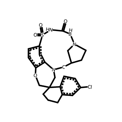 O=C1BN2CCC(C2)CN2CC3(CCCc4cc(Cl)ccc43)COc3ccc(cc32)S(=O)(=O)N1